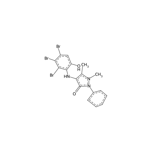 Cc1c(Nc2c(O)cc(Br)c(Br)c2Br)c(=O)n(-c2ccccc2)n1C